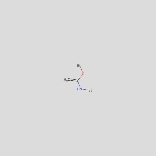 C=C(NCC)OCC